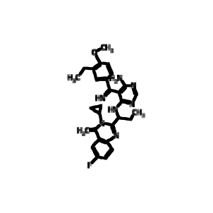 C=C1c2cc(F)ccc2N=C(C(CC)Nc2ncnc(N)c2C(=N)c2ccc(OC)c(CC)c2)N1C1CC1